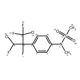 CN(c1ccc(C(F)(C(F)Cl)C(F)(F)Cl)cc1)S(C)(=O)=O